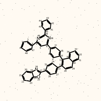 c1ccc(-c2cc(-c3ccc(-c4c(-c5ccc(-c6nc7ccccc7o6)cc5)ccc5ccccc45)cc3)nc(-c3ccccc3)n2)cc1